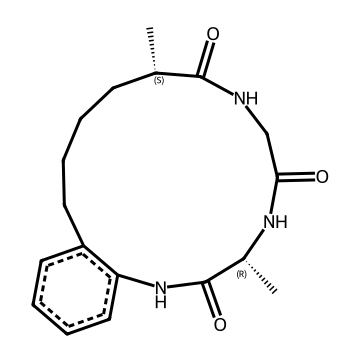 C[C@H]1CCCCc2ccccc2NC(=O)[C@@H](C)NC(=O)CNC1=O